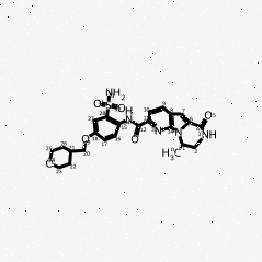 C[C@@H]1CNC(=O)c2cc3ccc(C(=O)Nc4ccc(OCC5CCOCC5)cc4S(N)(=O)=O)nc3n21